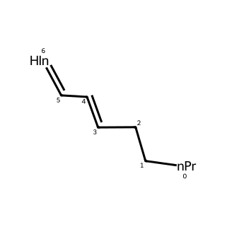 CCCCCC=C[CH]=[InH]